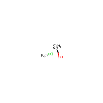 Cl.O=NO.[CaH2].[CaH2]